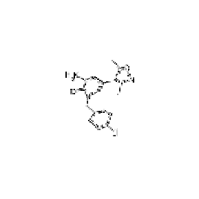 Cc1noc(C)c1-c1cc(N)c(=O)n(Cc2ccc(Cl)cc2)c1